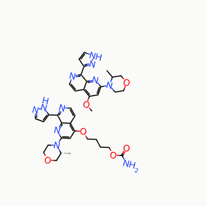 COc1cc(N2CCOCC2C)nc2c(-c3cc[nH]n3)nccc12.C[C@@H]1COCCN1c1cc(OCCCCOC(N)=O)c2ccnc(-c3ccn[nH]3)c2n1